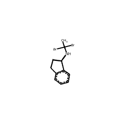 CC(Br)(Br)NC1CCc2ccccc21